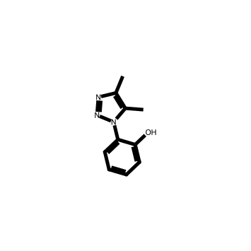 Cc1nnn(-c2ccccc2O)c1C